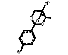 CCCC12COC(c3ccc(Br)cc3)(OC1C)OC2C